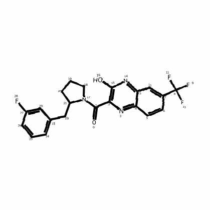 O=C(c1nc2ccc(C(F)(F)F)cc2nc1O)N1CCCC1Cc1cccc(F)c1